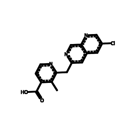 Cc1c(C(=O)O)ccnc1Cc1cc2cc(Cl)cnc2cn1